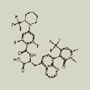 Cc1cc(C(F)(F)F)c(-c2ccc(C[C@H](NC(=O)c3c(F)cc(N4CCCC[C@@H]4C(F)(F)F)cc3F)C(=O)O)c3cccnc23)c(=O)n1C